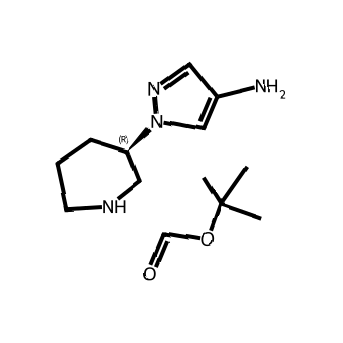 CC(C)(C)OC=O.Nc1cnn([C@@H]2CCCNC2)c1